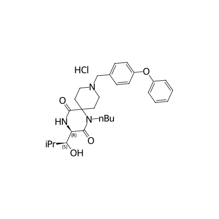 CCCCN1C(=O)[C@@H]([C@@H](O)C(C)C)NC(=O)C12CCN(Cc1ccc(Oc3ccccc3)cc1)CC2.Cl